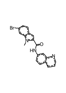 Cn1c(C(=O)Nc2ccc3cccnc3c2)cc2ccc(Br)cc21